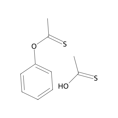 CC(=S)Oc1ccccc1.CC(O)=S